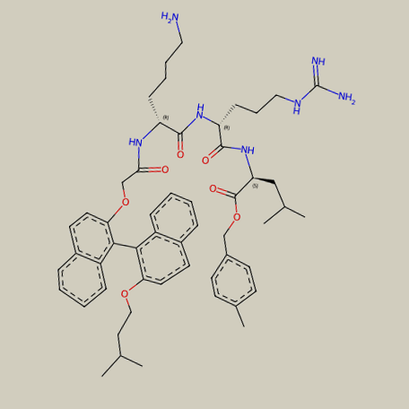 Cc1ccc(COC(=O)[C@H](CC(C)C)NC(=O)[C@@H](CCCNC(=N)N)NC(=O)[C@@H](CCCCN)NC(=O)COc2ccc3ccccc3c2-c2c(OCCC(C)C)ccc3ccccc23)cc1